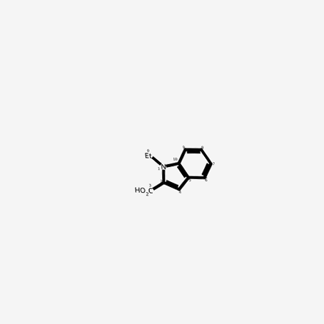 CCn1c(C(=O)O)cc2[c]cccc21